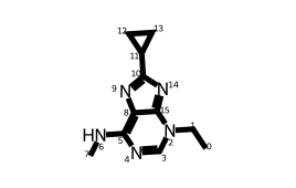 CCn1cnc(NC)c2nc(C3CC3)nc1-2